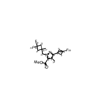 COC(=O)c1c(I)c(C23CC(F)(C2)C3)nn1CC1(C)CC(F)(F)C1